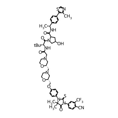 Cc1ncsc1-c1ccc([C@H](C)NC(=O)C2C[C@@H](O)CN2C(=O)[C@@H](NC(=O)CN2CCO[C@@H](CN3CCO[C@@H](COc4ccc(N5C(=S)N(c6ccc(C#N)c(C(F)(F)F)c6)C(=O)C5(C)C)cc4)C3)C2)C(C)(C)C)cc1